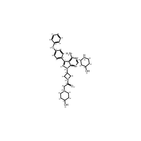 Nc1ncnc2c1c(-c1ccc(Oc3ccccc3)cc1)nn2C1CN(C(=O)CN2CCC(O)CC2)C1.OC1CCNCC1